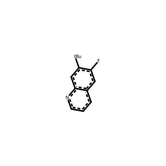 CC(C)(C)c1cc2ncccc2cc1F